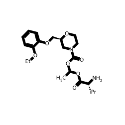 CCOc1ccccc1OC[C@@H]1CN(C(=O)OC(C)OC(=O)[C@H](N)C(C)C)CCO1